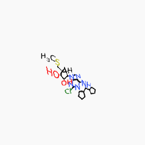 CSC[C@@]12C[C@@H]1[C@@H](n1cnc3c(NC(C4CCCC4)C4CCCC4)nc(Cl)nc31)[C@H](O)[C@@H]2O